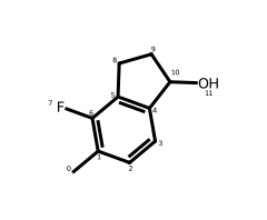 Cc1ccc2c(c1F)CCC2O